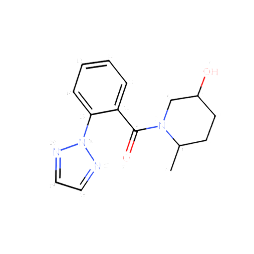 CC1CCC(O)CN1C(=O)c1ccccc1-n1nccn1